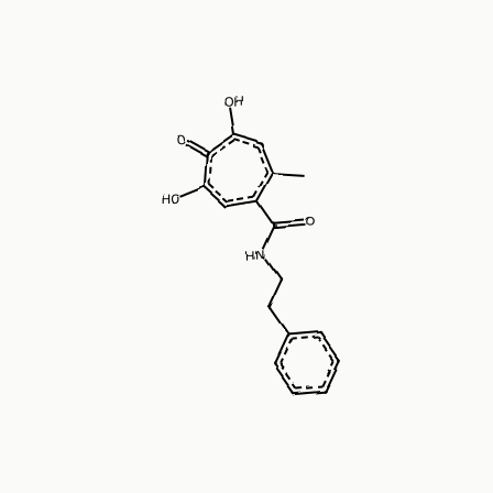 Cc1cc(O)c(=O)c(O)cc1C(=O)NCCc1ccccc1